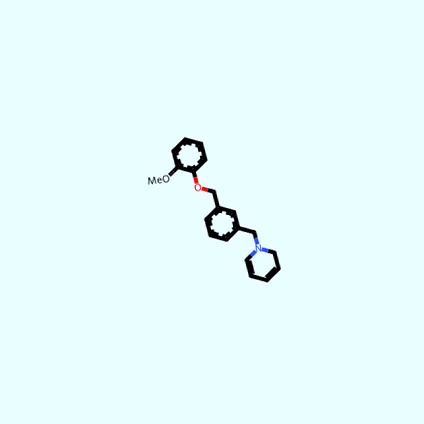 COc1ccccc1OCc1cccc(CN2C=CC=CC2)c1